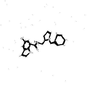 O=C(NCC1CCCN1CC1=CCCCC1)c1cc(Cl)cc2c1OCC2